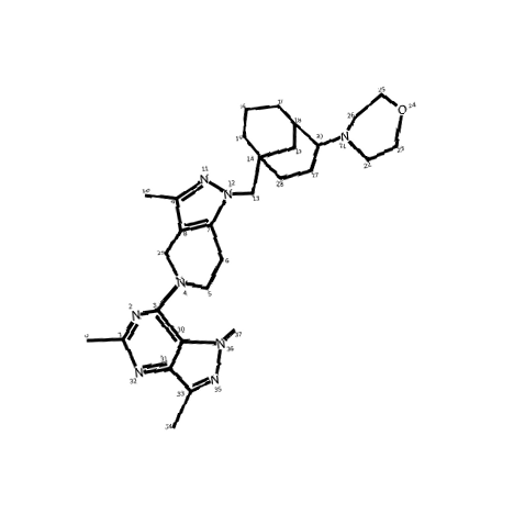 Cc1nc(N2CCc3c(c(C)nn3CC34CCCC(C3)C(N3CCOCC3)CC4)C2)c2c(n1)c(C)nn2C